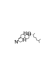 CN=C1C=C2CC[C@H]3[C@@H]4CC[C@H](C(C)CCCC(C)C)[C@@]4(C)CC[C@@H]3[C@@]2(C)CC1